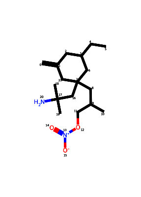 C=C1CC(CC)CC(CC(C)CO[N+](=O)[O-])(CC(C)(C)N)C1